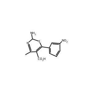 CC1=NC(N)SC(c2cccc([N+](=O)[O-])c2)=C1C(=O)O